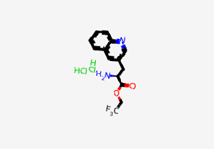 Cl.Cl.N[C@@H](Cc1cnc2ccccc2c1)C(=O)OCC(F)(F)F